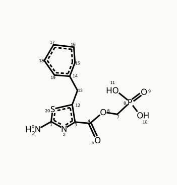 Nc1nc(C(=O)OCP(=O)(O)O)c(Cc2ccccc2)s1